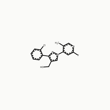 Cc1cnc(F)cc1-n1cc(CO)c(-c2ccccc2Cl)n1